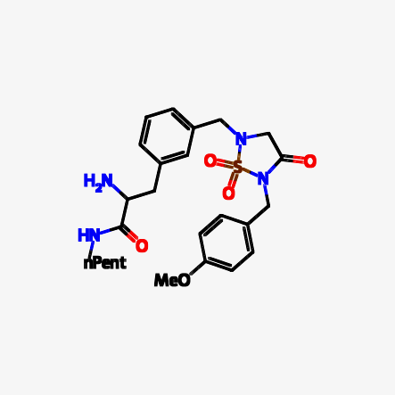 CCCCCNC(=O)C(N)Cc1cccc(CN2CC(=O)N(Cc3ccc(OC)cc3)S2(=O)=O)c1